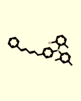 CCc1cccc(C)c1N(c1ccc(C/C=C/C=C/c2ccccc2)cc1)c1ccc(C)cc1C